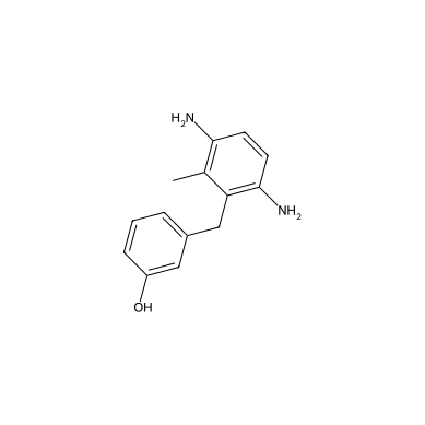 Cc1c(N)ccc(N)c1Cc1cccc(O)c1